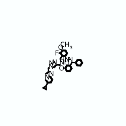 COc1ccc(NN=C(c2ccccc2)c2ccccc2)c(CNC(=O)c2cn(Cc3cn4cc(C5CC5)ccc4n3)nn2)c1F